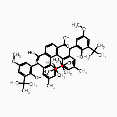 COc1cc(Cc2cc(C)cc(C(C)(C)C)c2-c2c(C(=O)O)ccc(C(=O)O)c2-c2c(Cc3cc(OC)cc(C(C)(C)C)c3O)cc(C)cc2C(C)(C)C)c(O)c(C(C)(C)C)c1